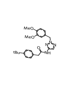 COc1ccc(Cn2ncc(NC(=O)Cc3ccc(C(C)(C)C)cc3)n2)cc1OC